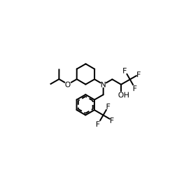 CC(C)OC1CCCC(N(Cc2ccccc2C(F)(F)F)CC(O)C(F)(F)F)C1